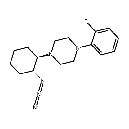 [N-]=[N+]=N[C@@H]1CCCC[C@H]1N1CCN(c2ccccc2F)CC1